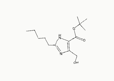 CCCCCc1nc(CO)c(C(=O)OC(C)(C)C)[nH]1